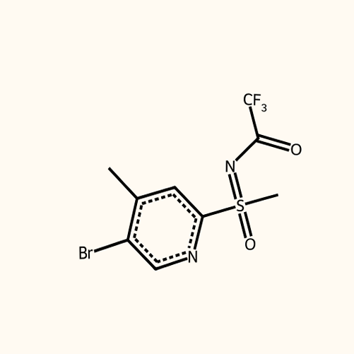 Cc1cc(S(C)(=O)=NC(=O)C(F)(F)F)ncc1Br